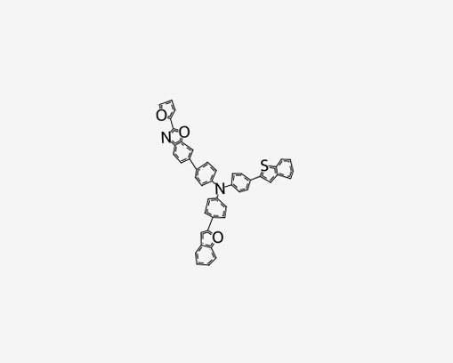 c1coc(-c2nc3ccc(-c4ccc(N(c5ccc(-c6cc7ccccc7o6)cc5)c5ccc(-c6cc7ccccc7s6)cc5)cc4)cc3o2)c1